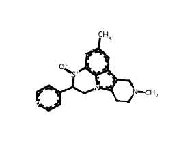 Cc1cc2c3c(c1)c1c(n3CC(c3ccncc3)[S+]2[O-])CCN(C)C1